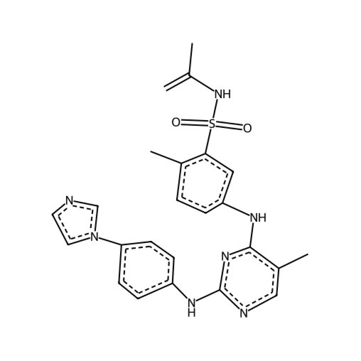 C=C(C)NS(=O)(=O)c1cc(Nc2nc(Nc3ccc(-n4ccnc4)cc3)ncc2C)ccc1C